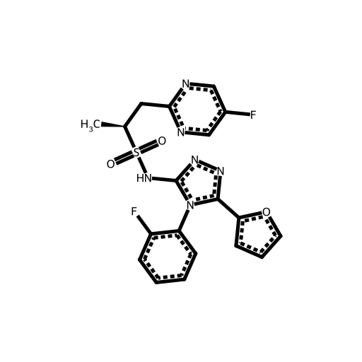 C[C@@H](Cc1ncc(F)cn1)S(=O)(=O)Nc1nnc(-c2ccco2)n1-c1ccccc1F